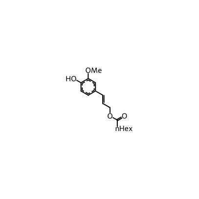 CCCCCCC(=O)OCC=Cc1ccc(O)c(OC)c1